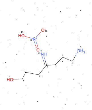 N=C(CCCN)CCCO.O=[N+]([O-])O